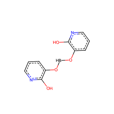 Oc1ncccc1OBOc1cccnc1O